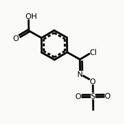 CS(=O)(=O)ON=C(Cl)c1ccc(C(=O)O)cc1